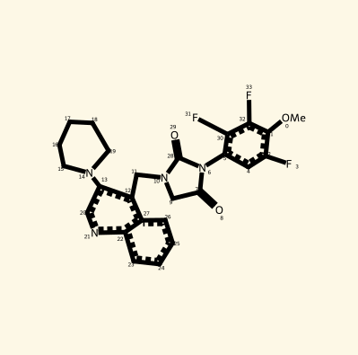 COc1c(F)cc(N2C(=O)CN(Cc3c(N4CCCCC4)cnc4ccccc34)C2=O)c(F)c1F